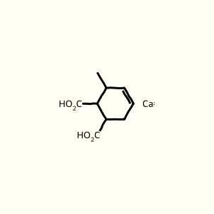 CC1C=CCC(C(=O)O)C1C(=O)O.[Ca]